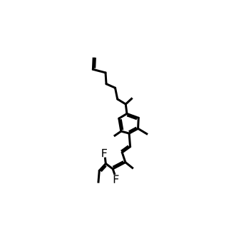 C=CCCCCC(C)c1cc(C)c(/C=C/C(C)=C(F)\C(F)=C/C)c(C)c1